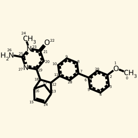 COc1cccc(-c2cccc(C3C4C=CC(C4)C3c3cc(=O)n(C)c(N)n3)c2)c1